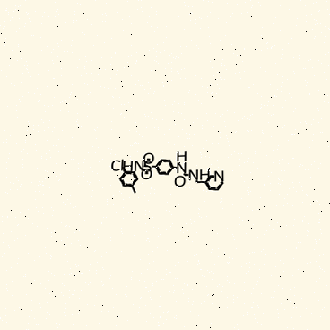 Cc1ccc(Cl)c(NS(=O)(=O)c2ccc(NC(=O)NCc3cccnc3)cc2)c1